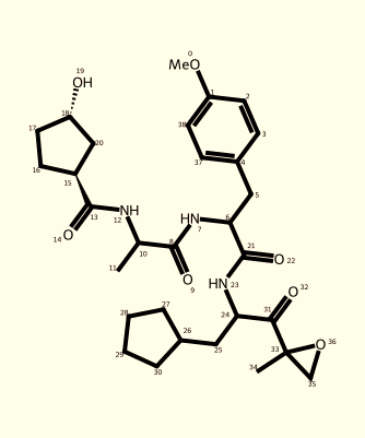 COc1ccc(CC(NC(=O)C(C)NC(=O)[C@H]2CC[C@H](O)C2)C(=O)NC(CC2CCCC2)C(=O)C2(C)CO2)cc1